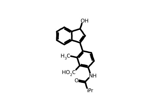 Cc1c(C2=CC(O)c3ccccc32)ccc(NC(=O)C(C)C)c1C(=O)O